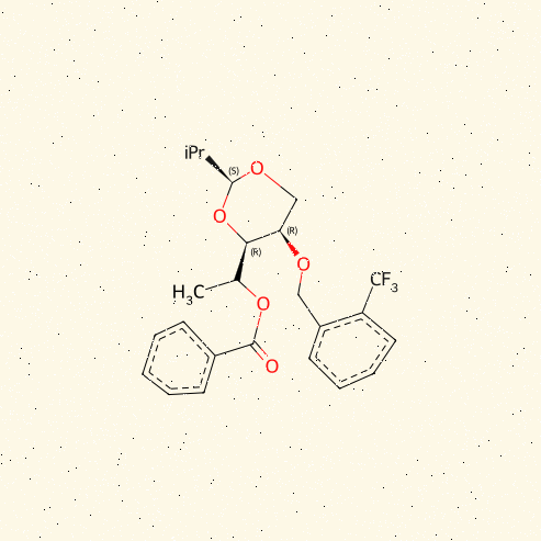 CC(C)[C@H]1OC[C@@H](OCc2ccccc2C(F)(F)F)[C@@H](C(C)OC(=O)c2ccccc2)O1